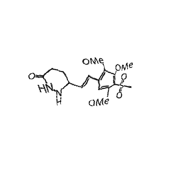 COc1cc(/C=C/C2CCC(=O)NN2)c(OC)c(OC)c1S(C)(=O)=O